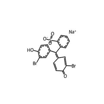 O=C1C=C/C(=C(\c2ccc(O)c(Br)c2)c2ccccc2S(=O)(=O)[O-])C=C1Br.[Na+]